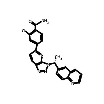 C[C@H](c1ccc2ncccc2c1)n1nnc2ccc(-c3ccc(C(N)=O)c(Cl)c3)nc21